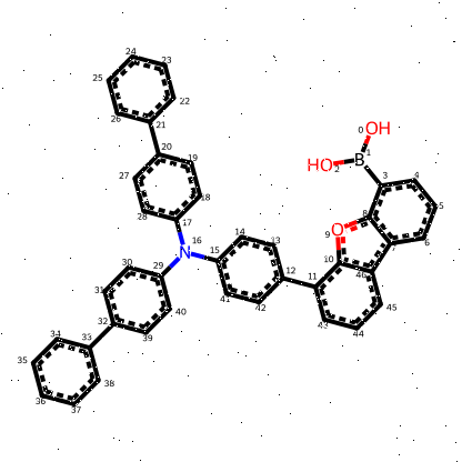 OB(O)c1cccc2c1oc1c(-c3ccc(N(c4ccc(-c5ccccc5)cc4)c4ccc(-c5ccccc5)cc4)cc3)cccc12